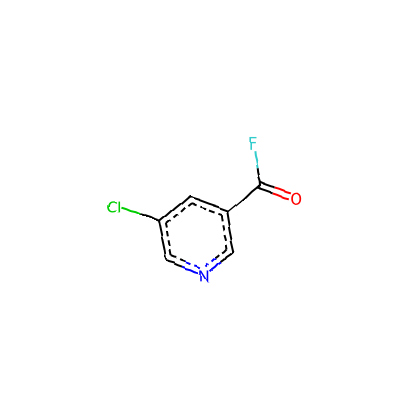 O=C(F)c1cncc(Cl)c1